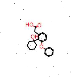 O=C(O)Cc1cccc(Oc2ccccc2)c1C1(O)CCCCC1